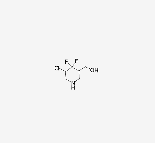 OCC1CNCC(Cl)C1(F)F